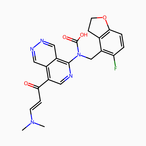 CN(C)C=CC(=O)c1cnc(N(Cc2c(F)ccc3c2CCO3)C(=O)O)c2cnncc12